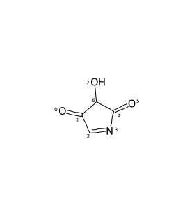 O=C1C=NC(=O)C1O